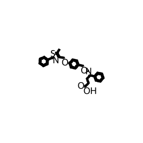 Cc1sc(-c2ccccc2)nc1COc1ccc(CO/N=C(\CCC(=O)O)c2ccccc2)cc1